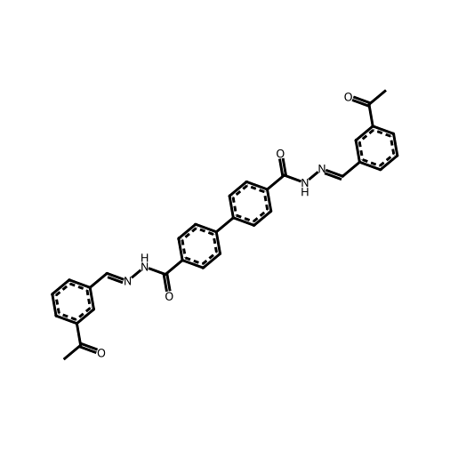 CC(=O)c1cccc(/C=N/NC(=O)c2ccc(-c3ccc(C(=O)N/N=C/c4cccc(C(C)=O)c4)cc3)cc2)c1